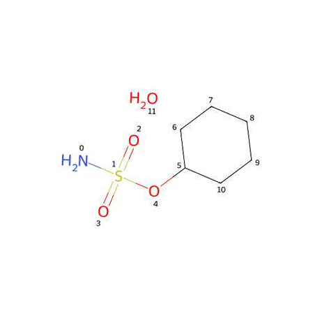 NS(=O)(=O)OC1CCCCC1.O